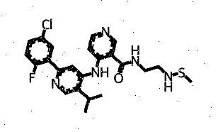 CSNCCNC(=O)c1cnccc1Nc1cc(-c2cc(Cl)ccc2F)ncc1C(C)C